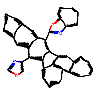 c1ccc2cc3c(-c4nc5ccccc5o4)c4c(c(-c5cocn5)c3cc2c1)-c1cccc2c1c-4cc1ccccc12